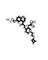 COc1ccc2nccc(C(F)CC[C@@H]3CCN(CCSC4CCC4)C[C@@H]3CC(=O)O)c2c1